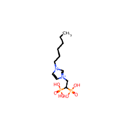 CCCCCCn1cc[n+](CC(P(=O)(O)O)P(=O)(O)O)c1